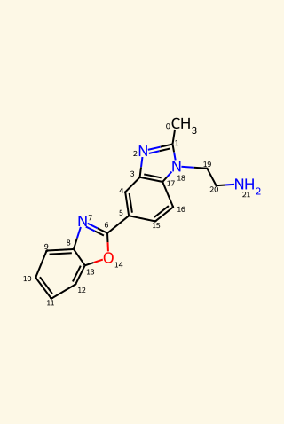 Cc1nc2cc(-c3nc4ccccc4o3)ccc2n1CCN